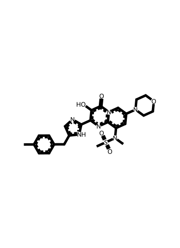 Cc1ccc(Cc2cnc(-c3nc4c(N(C)S(C)(=O)=O)cc(N5CCOCC5)cn4c(=O)c3O)[nH]2)cc1